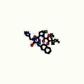 CCC(C)(C)C(=O)C(=O)C(=O)N1CCCC1C(=O)N[C@H](Cc1ccc2ccccc2c1)C(=O)NCCCN.Cl